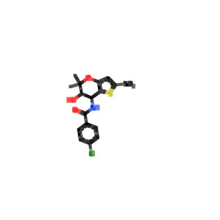 CC1(C)Oc2cc([N+](=O)[O-])sc2C(NC(=O)c2ccc(Cl)cc2)C1O